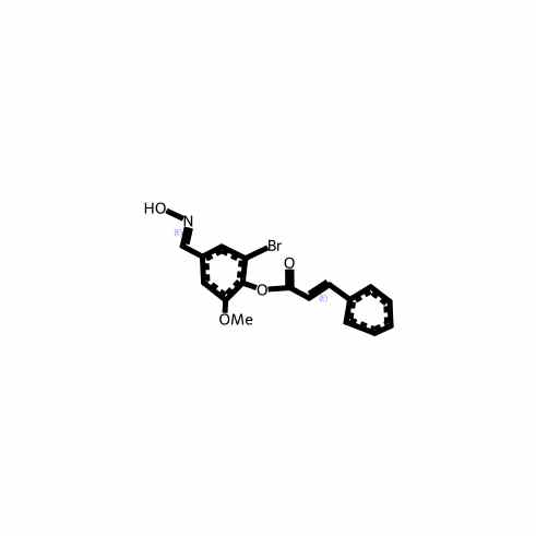 COc1cc(/C=N/O)cc(Br)c1OC(=O)/C=C/c1ccccc1